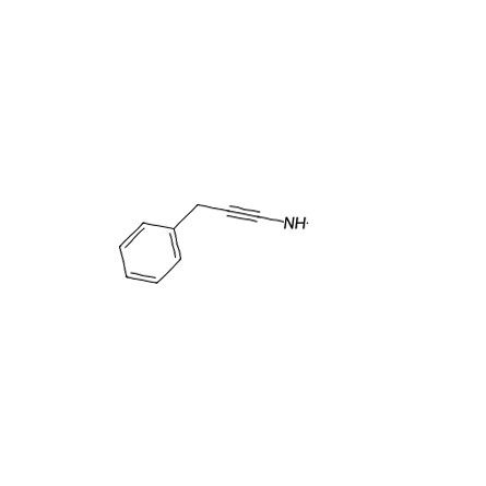 [NH]C#CCc1ccccc1